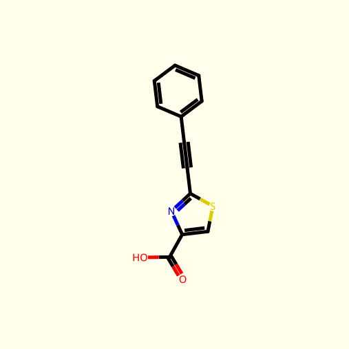 O=C(O)c1csc(C#Cc2ccccc2)n1